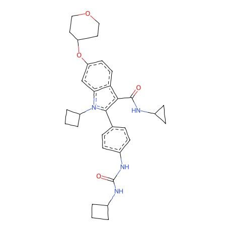 O=C(Nc1ccc(-c2c(C(=O)NC3CC3)c3ccc(OC4CCOCC4)cc3n2C2CCC2)cc1)NC1CCC1